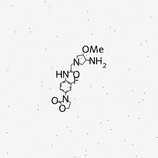 CO[C@H]1CN(CC(=O)Nc2ccc(N3CCOC3=O)cc2F)C[C@@H]1N